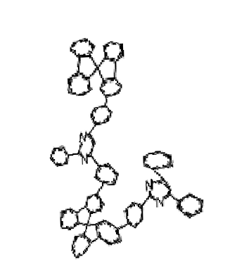 c1ccc(-c2cc(-c3ccccc3)nc(-c3ccc(-c4ccc5c(c4)C4(c6ccccc6-c6cc(-c7cccc(-c8cc(-c9ccc(-c%10ccc%11c(c%10)C%10(c%12ccccc%12-c%12ccccc%12%10)c%10ccccc%10-%11)cc9)nc(-c9ccccc9)n8)c7)ccc64)c4ccccc4-5)cc3)n2)cc1